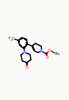 CC(C)(C)OC(=O)N1CC=C(c2ccc(C(F)(F)F)cc2N2CCC(=O)CC2)CC1